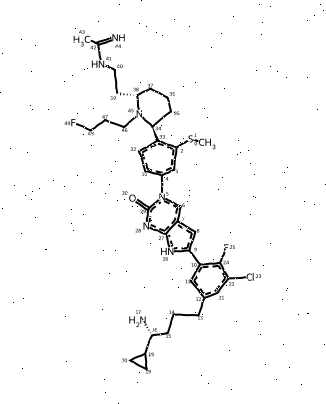 CSc1cc(-n2cc3cc(-c4cc(CCC[C@@H](N)C5CC5)cc(Cl)c4F)[nH]c3nc2=O)ccc1[C@@H]1CCC[C@@H](CCNC(C)=N)N1CCCF